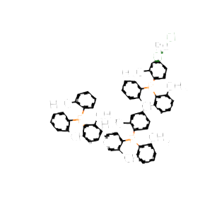 Cc1ccccc1P(c1ccccc1C)c1ccccc1C.Cc1ccccc1P(c1ccccc1C)c1ccccc1C.Cc1ccccc1P(c1ccccc1C)c1ccccc1C.[Cl][Ru][Cl]